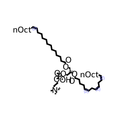 CCCCCCCC/C=C\C/C=C\C/C=C\CCCC(=O)O[C@H](COC(=O)CCCCCCCCCCC/C=C\CCCCCCCC)COP(=O)(O)OCC[N+](C)(C)C